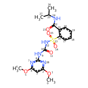 COc1cc(OC)nc(NC(=O)NS(=O)(=O)c2ccccc2C(=O)NC(C)C)n1